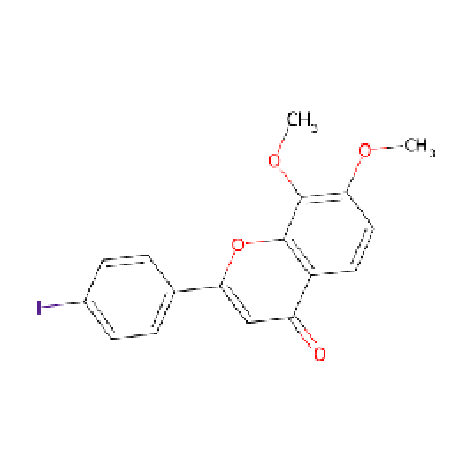 COc1ccc2c(=O)cc(-c3ccc(I)cc3)oc2c1OC